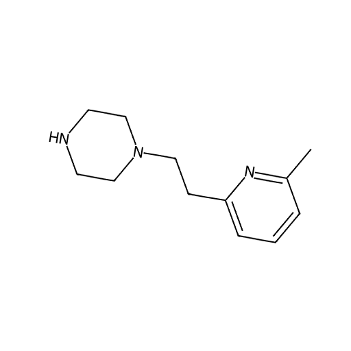 Cc1cccc(CCN2CCNCC2)n1